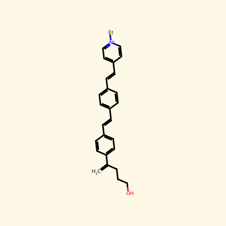 C=C(CCCO)c1ccc(C=Cc2ccc(C=Cc3cc[n+](CC)cc3)cc2)cc1